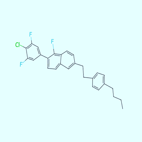 CCCCc1ccc(CCc2ccc3c(F)c(-c4cc(F)c(Cl)c(F)c4)ccc3c2)cc1